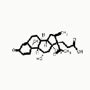 C=C1C[C@H]2[C@@H]3CCC4=CC(=O)C=C[C@]4(C)[C@H]3[C@@H](O)C[C@]2(C)[C@@]1(CCC(=O)O)C(C)=O